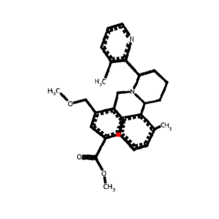 COCc1cc(C(=O)OC)ccc1CN1C(c2ncccc2C)CCCC1c1ncccc1C